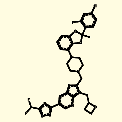 CC1(c2ccc(Cl)cc2F)Oc2cccc(C3CCN(Cc4nc5cc(-c6noc(C(F)F)n6)cnc5n4CC4CCO4)CC3)c2O1